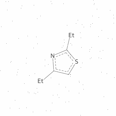 CCc1[c]sc(CC)n1